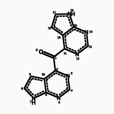 O=C(c1ncnc2[nH]ccc12)c1ncnc2[nH]ccc12